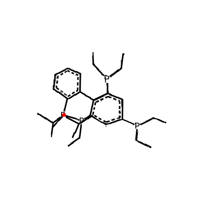 CCP(CC)c1[c]c(P(CC)CC)c(-c2ccccc2P(C(C)C)C(C)C)c(P(CC)CC)c1